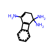 NC1=CCC(N)(N)C2=C1c1ccccc12